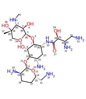 CN[C@@H]1[C@@H](O)[C@@H](O[C@@H]2[C@@H](O)[C@H](O[C@H]3O[C@H](CN)CC[C@H]3N)[C@@H](N)C[C@H]2NC(=O)[C@@H](O)[C@H](N)CN)OC[C@]1(C)O